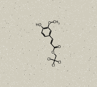 COc1cc(C=CC(=O)OCC(Cl)(Cl)Cl)ccc1O